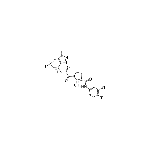 C[C@H]1[C@@H](C(=O)Nc2ccc(F)c(Cl)c2)CCN1C(=O)C(=O)N[C@@H](CC(F)(F)F)c1c[nH]nn1